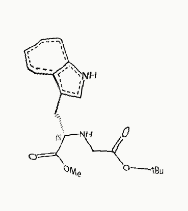 COC(=O)[C@H](Cc1c[nH]c2ccccc12)NCC(=O)OC(C)(C)C